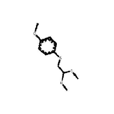 COc1ccc(SCC(OC)OC)cc1